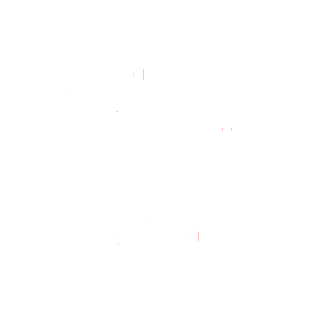 CC(=O)O.O=C(O)CC(Cl)(Cl)Cl